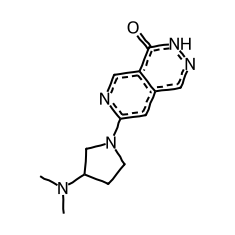 CN(C)C1CCN(c2cc3cn[nH]c(=O)c3cn2)C1